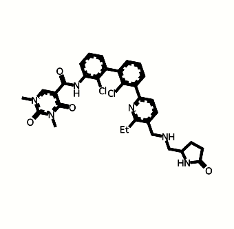 CCc1nc(-c2cccc(-c3cccc(NC(=O)c4cn(C)c(=O)n(C)c4=O)c3Cl)c2Cl)ccc1CNCC1CCC(=O)N1